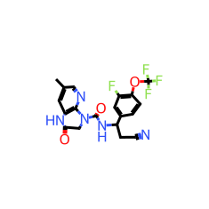 Cc1cnc2c(c1)NC(=O)CN2C(=O)NC(CC#N)c1ccc(OC(F)(F)F)c(F)c1